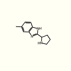 Cc1ccc2[nH]c(C3CCCN3)nc2c1